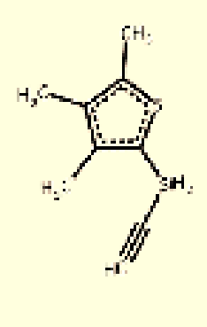 C#C[SiH2]c1sc(C)c(C)c1C